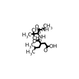 CNC(=O)C(NC(=O)C(CC(=O)O)CC(C)C)C(C)(C)C